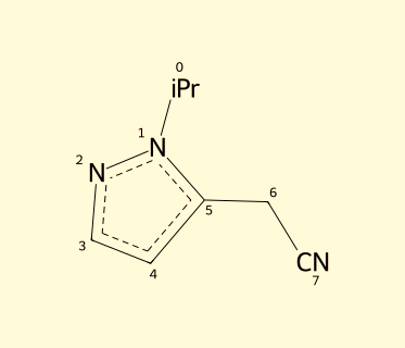 CC(C)n1nccc1CC#N